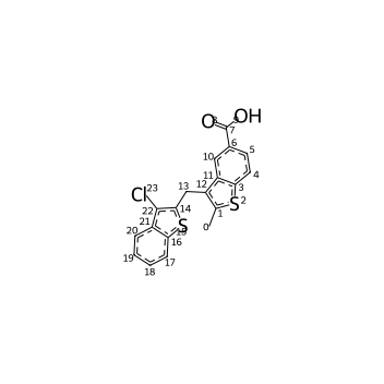 Cc1sc2ccc(C(=O)O)cc2c1Cc1sc2ccccc2c1Cl